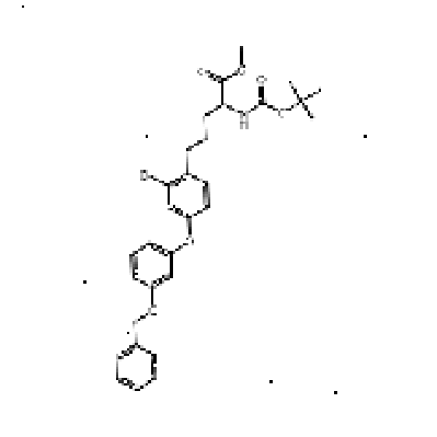 COC(=O)C(CCCc1ccc(Oc2cccc(OCc3ccccc3)c2)cc1Cl)NC(=O)OC(C)(C)C